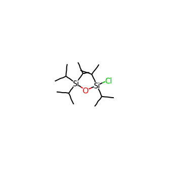 CC(C)[Si](Cl)(O[Si](C(C)C)(C(C)C)C(C)C)C(C)C